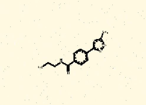 Cc1nc(-c2ccc(C(=O)NCCC(F)(F)F)cc2)no1